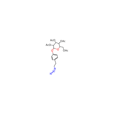 CC(=O)OCC1O[C@@H](Oc2ccc(CCN=[N+]=[N-])cc2)C(OC(C)=O)C(OC(C)=O)[C@H]1OC(C)=O